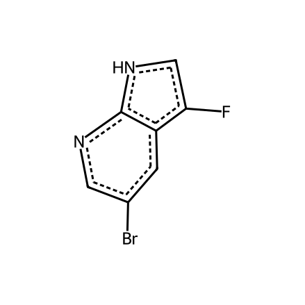 Fc1c[nH]c2ncc(Br)cc12